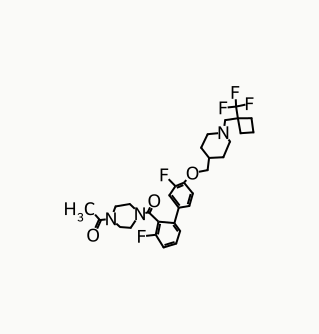 CC(=O)N1CCN(C(=O)c2c(F)cccc2-c2ccc(OCC3CCN(CC4(C(F)(F)F)CCC4)CC3)c(F)c2)CC1